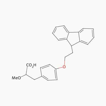 COC(Cc1ccc(OCCC2c3ccccc3-c3ccccc32)cc1)C(=O)O